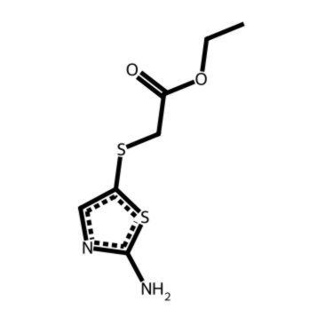 CCOC(=O)CSc1cnc(N)s1